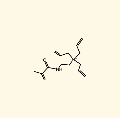 C=CC[N+](CC=C)(CC=C)CCNC(=O)C(=C)C